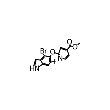 COC(=O)c1ccnc(Oc2c(F)cc3[nH]ccc3c2Br)c1